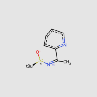 C/C(=N/[S@+]([O-])C(C)(C)C)c1ccccn1